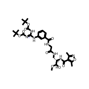 COC(O)[C@H](CNC(=O)CNC(=O)c1cccc(N/C(=N/C(=O)OC(C)(C)C)NC(=O)OC(C)(C)C)c1)NC(=O)c1c(C)noc1C